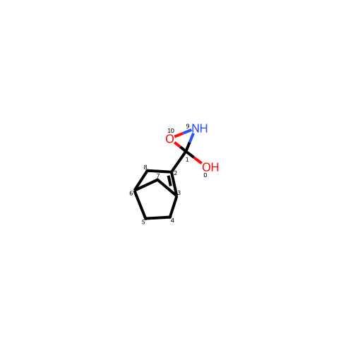 OC1(C2=C3CCC(C3)C2)NO1